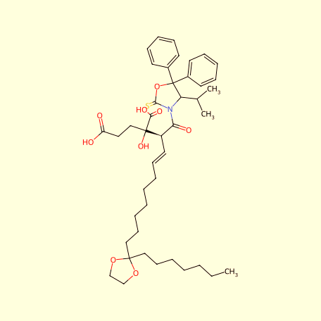 CCCCCCCC1(CCCCCCC=C[C@H](C(=O)N2C(=S)OC(c3ccccc3)(c3ccccc3)C2C(C)C)C(O)(CCC(=O)O)C(=O)O)OCCO1